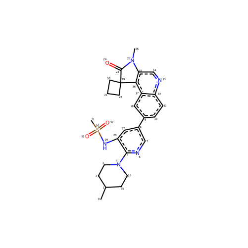 CC1CCN(c2ncc(-c3ccc4ncc5c(c4c3)C3(CCC3)C(=O)N5C)cc2NS(C)(=O)=O)CC1